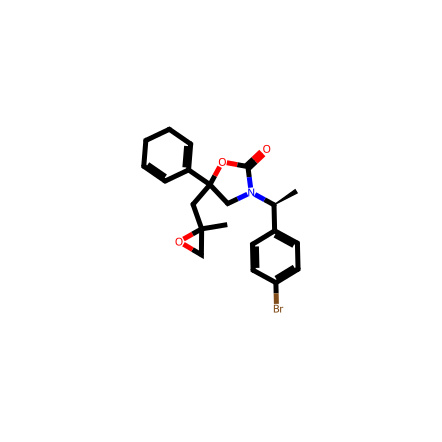 C[C@@H](c1ccc(Br)cc1)N1CC(CC2(C)CO2)(C2=CCCC=C2)OC1=O